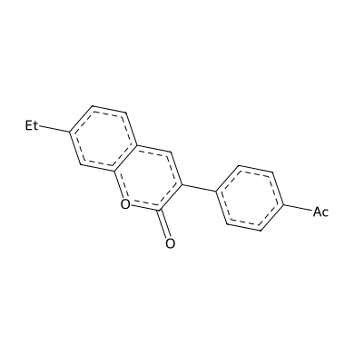 CCc1ccc2cc(-c3ccc(C(C)=O)cc3)c(=O)oc2c1